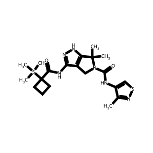 Cc1nscc1NC(=O)N1Cc2c(NC(=O)C3(S(C)(C)C)CCC3)n[nH]c2C1(C)C